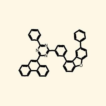 c1ccc(-c2ccc3oc4cccc(-c5cccc(-c6nc(-c7ccccc7)nc(-c7cc8ccccc8c8ccccc78)n6)c5)c4c3c2)cc1